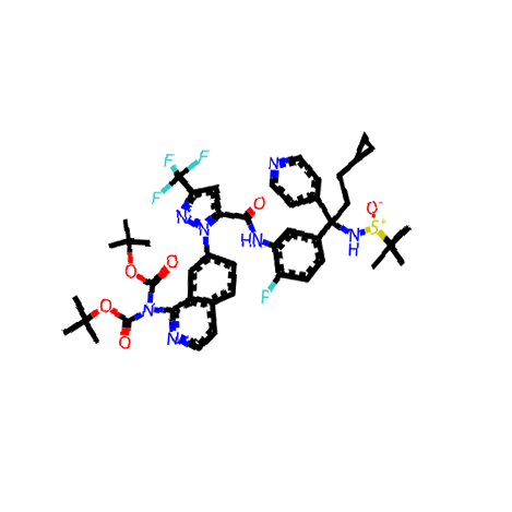 CC(C)(C)OC(=O)N(C(=O)OC(C)(C)C)c1nccc2ccc(-n3nc(C(F)(F)F)cc3C(=O)Nc3cc(C(CCC4CC4)(N[S@+]([O-])C(C)(C)C)c4ccncc4)ccc3F)cc12